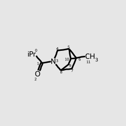 CC(C)C(=O)N1CC2CCC1CC2C